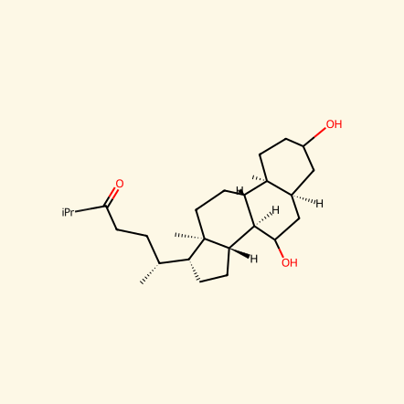 CC(C)C(=O)CC[C@@H](C)[C@H]1CC[C@H]2[C@@H]3C(O)C[C@@H]4CC(O)CC[C@]4(C)[C@H]3CC[C@]12C